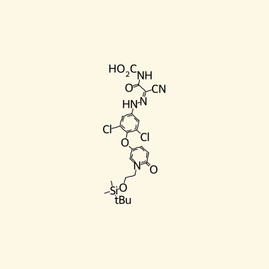 CC(C)(C)[Si](C)(C)OCCn1cc(Oc2c(Cl)cc(NN=C(C#N)C(=O)NC(=O)O)cc2Cl)ccc1=O